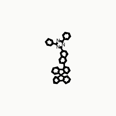 c1ccc(-c2nc(-c3ccccc3)nc(-c3ccc4cc(-c5cccc6c5-c5ccccc5C65c6ccccc6-c6ccccc65)ccc4c3)n2)cc1